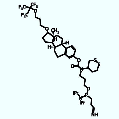 CC(C)N(C(C)C)P(CCC=N)OCCCN(C(=O)Oc1ccc2c(c1)CC[C@@H]1[C@@H]2CC[C@]2(C)[C@@H](OCCCOC(C(F)(F)F)(C(F)(F)F)C(F)(F)F)CC[C@@H]12)C1CCSSC1